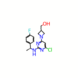 C[C@H](Nc1nc(Cl)cc(N2CC(CO)C2)n1)c1ccc(F)cc1